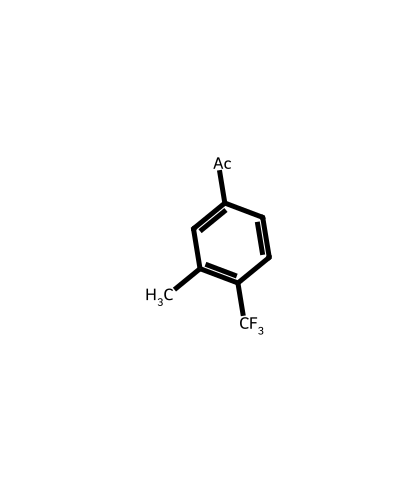 CC(=O)c1ccc(C(F)(F)F)c(C)c1